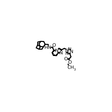 CCOC(=O)Cc1nnn(Cc2cn3c(C(=O)NCC45CC6CC7CC(C4)C7(C6)C5)cccc3n2)n1